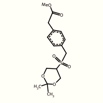 COC(=O)Cc1ccc(CS(=O)(=O)C2COC(C)(C)OC2)cc1